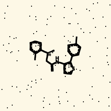 C=C(C[C@H](C)c1ccccc1C)Nc1ccsc1-c1ccc(C)cc1